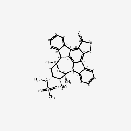 CO[C@@H]1[C@H](N(C)S(C)(=O)=O)C[C@H]2O[C@]1(C)n1c3ccccc3c3c4c(c5c6ccccc6n2c5c31)C(=O)NC4